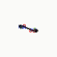 O=C(CCCCCCCNC(=O)NCc1ccccc1F)NCCOc1ccccc1F